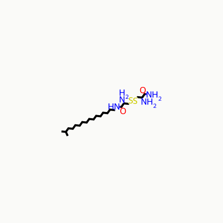 CC(C)CCCCCCCCCCCCCCNC(=O)C(N)CSSCC(N)C(N)=O